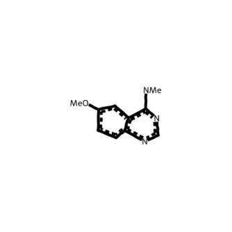 CNc1ncnc2ccc(OC)cc12